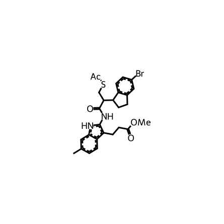 COC(=O)CCc1c(NC(=O)C(CSC(C)=O)C2CCc3cc(Br)ccc32)[nH]c2cc(C)ccc12